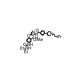 CCC(CC)NC(=O)Nc1ccc(Oc2cnc(NC(=O)c3ccc(C4=CCN(CCC(C)C)CC4)cc3)s2)c(COC)c1